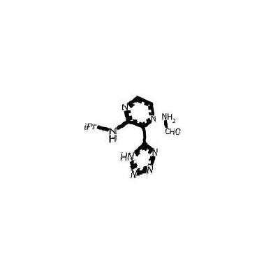 CC(C)Nc1nccnc1-c1nnn[nH]1.NC=O